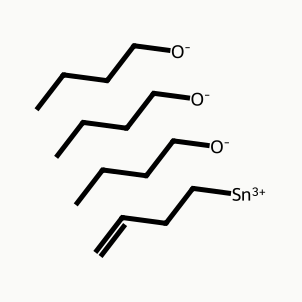 C=CC[CH2][Sn+3].CCCC[O-].CCCC[O-].CCCC[O-]